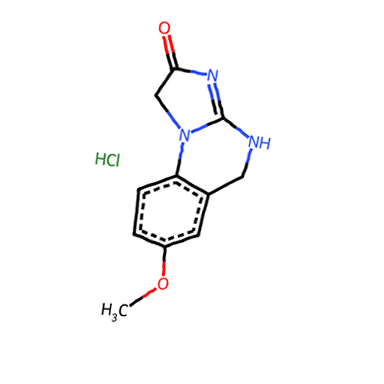 COc1ccc2c(c1)CNC1=NC(=O)CN12.Cl